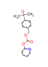 CP(C)(=O)c1ccc(COC(=O)Oc2ccccn2)cc1